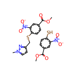 COC(=O)c1ccc(S)c([N+](=O)[O-])c1.COC(=O)c1ccc(SCc2ccn(C)n2)c([N+](=O)[O-])c1